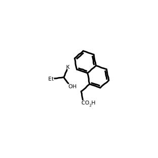 CC[CH](O)[K].O=C(O)Cc1cccc2ccccc12